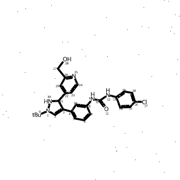 CC(C)(C)N1C=C(c2cccc(NC(=O)Nc3ccc(Cl)cc3)c2)C(c2ccnc(CO)c2)N1